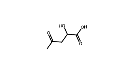 CC(=O)CC(O)C(=O)O